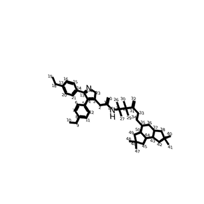 C=C(CC1=C(c2ccc(CC)cc2)C(c2ccc(CC)cc2)=NC1)NC(C)(C)C(C)(C)C(=C)CCC1CC2CC(C)(C)CC2C2CC(C)(C)CC12